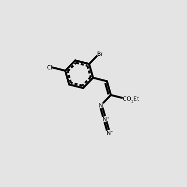 CCOC(=O)C(=Cc1ccc(Cl)cc1Br)N=[N+]=[N-]